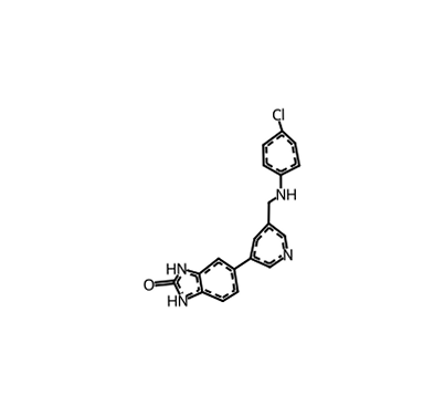 O=c1[nH]c2ccc(-c3cncc(CNc4ccc(Cl)cc4)c3)cc2[nH]1